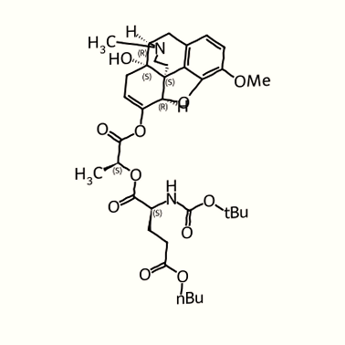 CCCCOC(=O)CC[C@H](NC(=O)OC(C)(C)C)C(=O)O[C@@H](C)C(=O)OC1=CC[C@@]2(O)[C@H]3Cc4ccc(OC)c5c4[C@@]2(CCN3C)[C@H]1O5